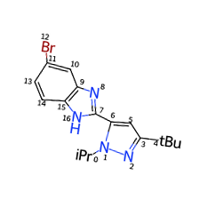 CC(C)n1nc(C(C)(C)C)cc1-c1nc2cc(Br)ccc2[nH]1